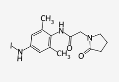 Cc1cc(NI)cc(C)c1NC(=O)CN1CCCC1=O